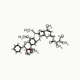 CCCc1nc2c(n1Cc1cc(OC)c(OC(c3ccccc3)c3nnn[nH]3)c(OC)c1)CC(=NC(=O)C(C)C(C)C=O)C=C2C